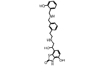 O=c1[nH]c2c(O)ccc(C(O)CNCCc3cccc(CNCc4ccccc4O)c3)c2s1